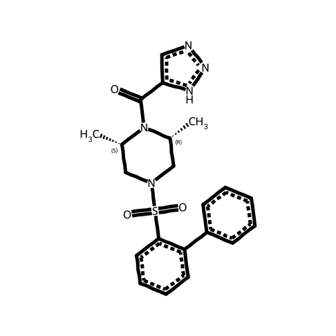 C[C@@H]1CN(S(=O)(=O)c2ccccc2-c2ccccc2)C[C@H](C)N1C(=O)c1cnn[nH]1